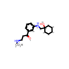 O=C(O)NCCC(=O)c1cccc(NCC2(O)CCCCC2)c1